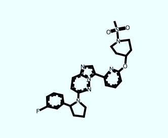 CS(=O)(=O)N1CCC(Oc2cccc(-c3cnc4ccc(N5CCCC5c5cccc(F)c5)nn34)n2)CC1